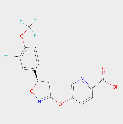 O=C(O)c1ccc(OC2=NO[C@@H](c3ccc(OC(F)(F)F)c(F)c3)C2)cn1